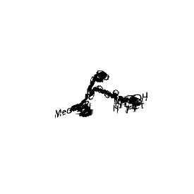 CCO[PH](O)(O)OCCNC(=O)CCOCCOCCC(=O)N(CCCOc1ccc(OC)cc1C1Sc2ccccc2N(C)C1=O)CCOc1ccc2c(c1)OCO2